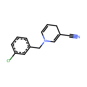 N#CC1=CN(Cc2cccc(Cl)c2)C=CC1